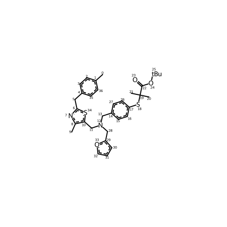 Cc1ccc(Cc2nc(C)c(CN(Cc3ccc(SC(C)(C)C(=O)OC(C)(C)C)cc3)Cc3ccco3)s2)cc1